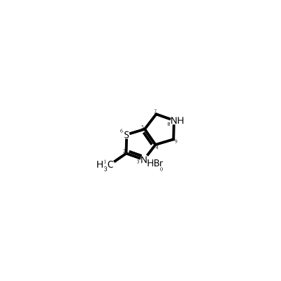 Br.Cc1nc2c(s1)CNC2